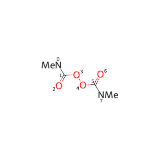 CNC(=O)OOC(=O)NC